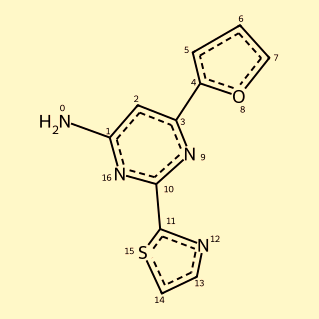 Nc1cc(-c2ccco2)nc(-c2nccs2)n1